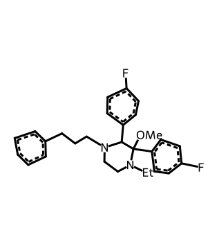 CCN1CCN(CCCc2ccccc2)C(c2ccc(F)cc2)C1(OC)c1ccc(F)cc1